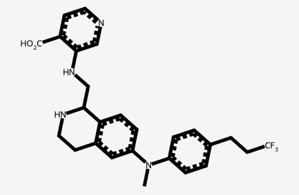 CN(c1ccc(CCC(F)(F)F)cc1)c1ccc2c(c1)CCNC2CNc1cnccc1C(=O)O